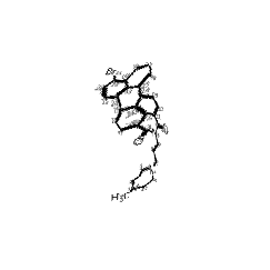 CN1CCN(CCCN2C(=O)c3ccc4c5cccc6c(Br)ccc(c7ccc(c3c47)C2=O)c65)CC1